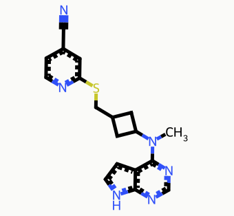 CN(c1ncnc2[nH]ccc12)C1CC(CSc2cc(C#N)ccn2)C1